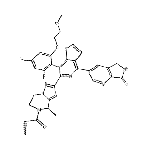 C=CC(=O)N1CCn2nc(-c3nc(-c4cnc5c(c4)CNC5=O)c4ccsc4c3-c3c(F)cc(F)cc3OCCOC)cc2[C@H]1C